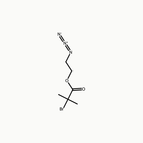 CC(C)(Br)C(=O)O[CH]CN=[N+]=[N-]